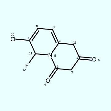 O=C1CC(=O)N2C(=CC=C(Cl)C2F)C1